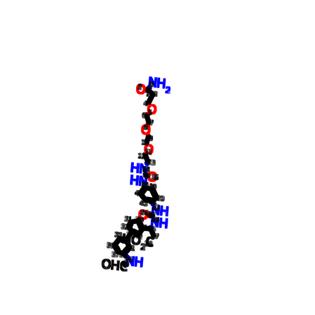 NC(=O)CCOCCOCCOCCNC(=O)Nc1ccc(NC(=O)NC(CC(=O)O)c2cccc(-c3cccc(NC=O)c3)c2)cc1